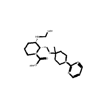 COC(=O)N1CCC[C@H](NCSC)[C@@H]1COC1(C)CCN(c2ncccn2)CC1